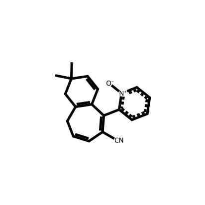 CC1(C)C=CC2=C(CC=CC(C#N)=C2c2cccc[n+]2[O-])C1